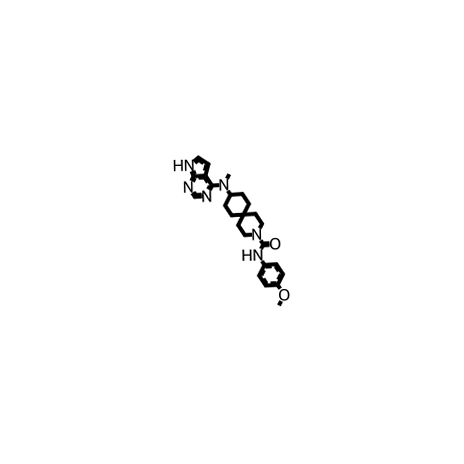 COc1ccc(NC(=O)N2CCC3(CCC(N(C)c4ncnc5[nH]ccc45)CC3)CC2)cc1